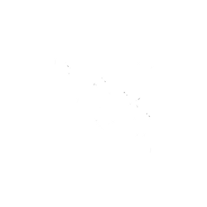 O=C(N[C@@H]1CC[C@@H](O)C1)N[C@@](Cc1ccccc1)(c1cc(F)cc(C(F)(F)F)c1)c1ccc(I)cn1